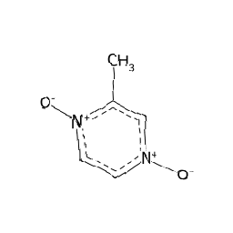 Cc1c[n+]([O-])cc[n+]1[O-]